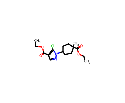 CCOC(=O)c1cnn(C2CCC(C)(C(=O)OCC)CC2)c1Cl